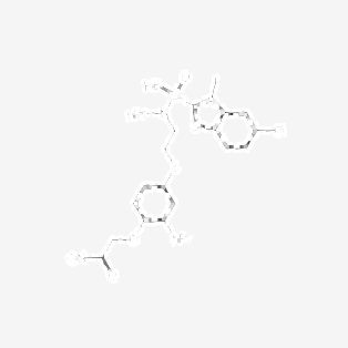 B=S(=O)(c1sc2ccc(Cl)cc2c1C)N(CCC)CCSc1ccc(OCC(=O)N=O)c(CCC)c1